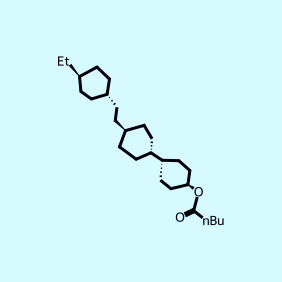 CCCCC(=O)O[C@H]1CC[C@H]([C@H]2CC[C@H](CC[C@H]3CC[C@H](CC)CC3)CC2)CC1